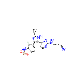 CS(=O)(=O)Nc1cccc(-c2nc(C3CC3)[nH]c2-c2ccnc(NCCC#N)n2)c1F